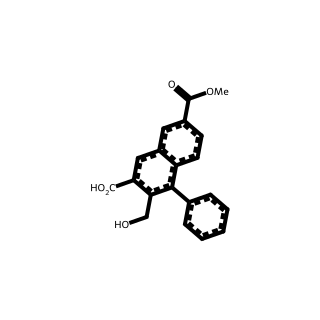 COC(=O)c1ccc2c(-c3ccccc3)c(CO)c(C(=O)O)cc2c1